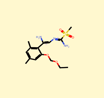 CCOCOc1cc(C)cc(C)c1/C(N)=C/N=C(\N)S(C)(=O)=O